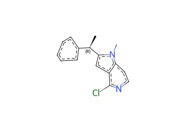 C[C@H](c1ccccc1)c1cc2c(Cl)nccc2n1C